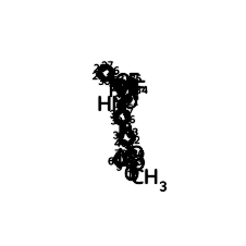 COC(=O)[C@@H]1CCCN1C(=O)C1CCN(c2ccc(NC(=O)c3nc(-c4ccccc4)oc3C(F)(F)F)cc2)CC1